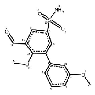 COc1cccc(-c2cc(S(N)(=O)=O)cc(C=O)c2OC)c1